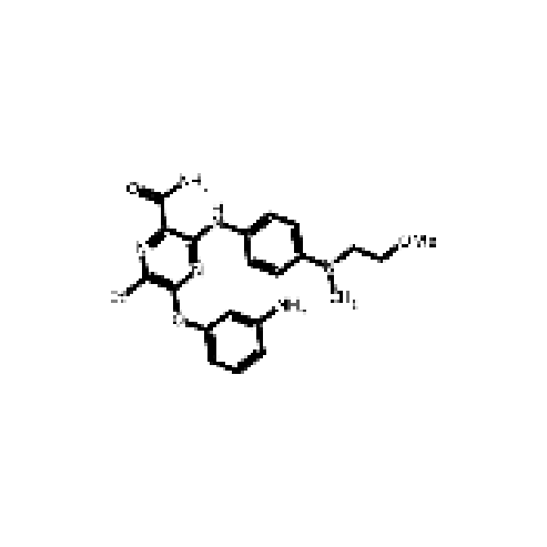 CCc1nc(C(N)=O)c(Nc2ccc(N(C)CCOC)cc2)nc1Oc1cccc(N)c1